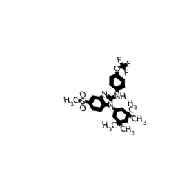 CC1(C)CC(n2c(Nc3ccc(OC(F)(F)F)cc3)nc3cc(S(C)(=O)=O)ccc32)CC(C)(C)C1